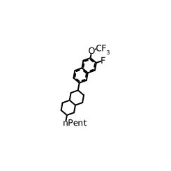 CCCCCC1CCC2CC(c3ccc4cc(OC(F)(F)F)c(F)cc4c3)CCC2C1